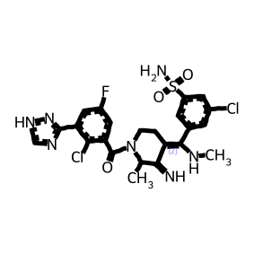 CN/C(=C1/CCN(C(=O)c2cc(F)cc(-c3nc[nH]n3)c2Cl)C(C)C1=N)c1cc(Cl)cc(S(N)(=O)=O)c1